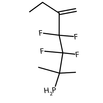 C=C(CC)C(F)(F)C(F)(F)C(C)(C)P